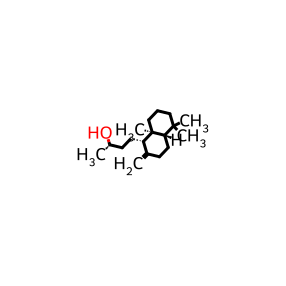 C=C1CC[C@H]2C(C)(C)CCC[C@]2(C)[C@H]1CC[C@H](C)O